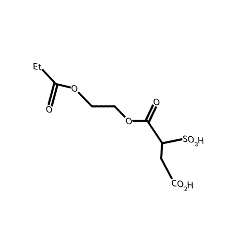 CCC(=O)OCCOC(=O)C(CC(=O)O)S(=O)(=O)O